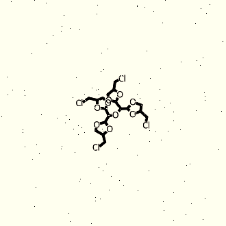 ClCC1COC(C(OC(C2OCC(CCl)O2)C2OCC(CCl)O2)C2OCC(CCl)O2)O1